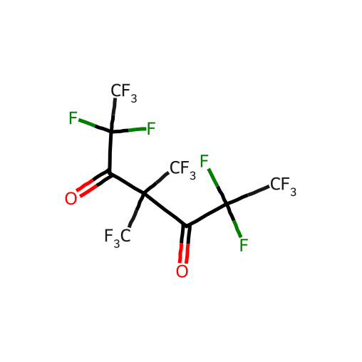 O=C(C(F)(F)C(F)(F)F)C(C(=O)C(F)(F)C(F)(F)F)(C(F)(F)F)C(F)(F)F